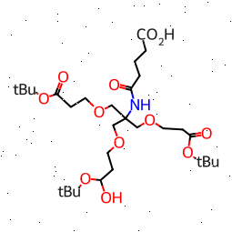 CC(C)(C)OC(=O)CCOCC(COCCC(=O)OC(C)(C)C)(COCCC(O)OC(C)(C)C)NC(=O)CCCC(=O)O